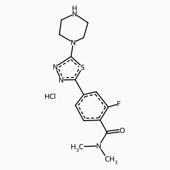 CN(C)C(=O)c1ccc(-c2nnc(N3CCNCC3)s2)cc1F.Cl